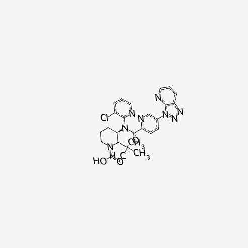 CC(C)(C)C1[C@H](N(C(=O)c2ccc(-n3nnc4cccnc43)cn2)c2ncccc2Cl)CCCN1C(=O)O